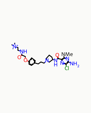 CNc1nc(N)c(Cl)nc1C(=O)NC1CCCN(CCCc2ccc(OCC(=O)NCC[N+](C)(C)C)cc2)C1